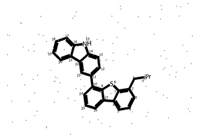 CC(C)Cc1cccc2c1sc1c(-c3ccc4[nH]c5ccccc5c4c3)cccc12